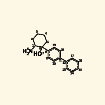 NC1CCCCC1(O)c1ccc(-c2ccccc2)cc1